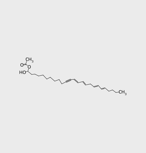 CCCCC=CC=CCC=CC=CC#CCCCCCCCCCC(O)OC(C)=O